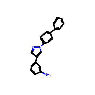 Nc1cccc(-c2cnn(-c3ccc(-c4ccccc4)cc3)c2)c1